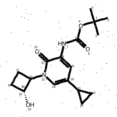 CC(C)(C)OC(=O)Nc1cc(C2CC2)cn(C2CC[C@H]2O)c1=O